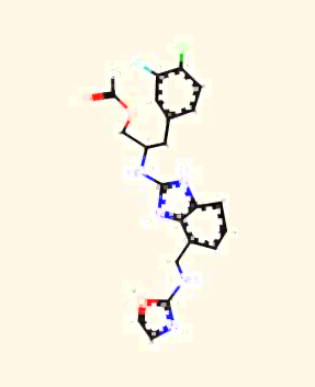 CC(C)(C)C(=O)OCC(Cc1ccc(Cl)c(F)c1)Nc1nc2c(CNc3ncco3)cccc2[nH]1